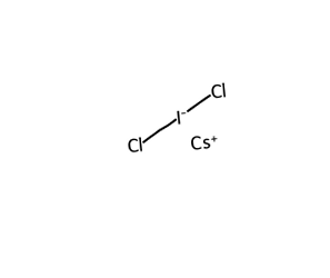 Cl[I-]Cl.[Cs+]